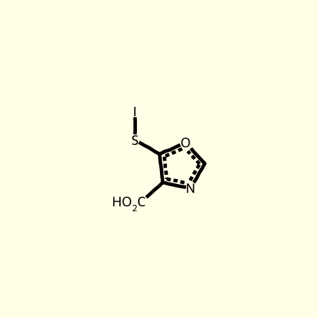 O=C(O)c1ncoc1SI